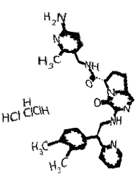 Cc1ccc([C@@H](CNc2ncc3n(c2=O)[C@H](C(=O)NCc2ccc(N)nc2C)CC3)c2ccccn2)cc1C.Cl.Cl.Cl